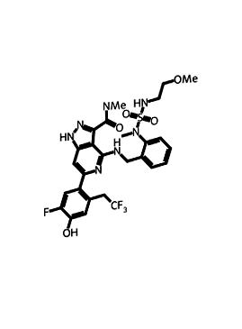 CNC(=O)c1n[nH]c2cc(-c3cc(F)c(O)cc3CC(F)(F)F)nc(NCc3ccccc3N(C)S(=O)(=O)NCCOC)c12